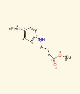 CCCCCc1ccc(NCCCC(=O)OC(C)(C)C)cc1